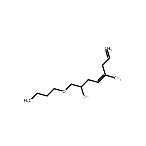 C=CC/C(C)=C\CC(O)COCCCC